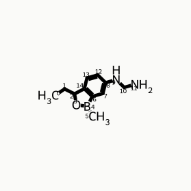 CCC1OB(C)c2cc(NCN)ccc21